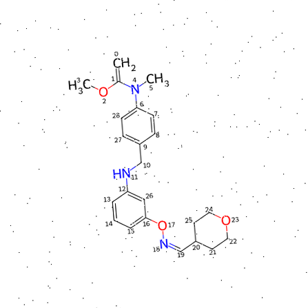 C=C(OC)N(C)c1ccc(CNc2cccc(O/N=C\C3CCOCC3)c2)cc1